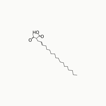 CCCCCCCCCCCCCCCC=CCC(C(C)=O)C(=O)O